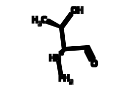 C[C@@H](O)[C@@H](C=O)NP